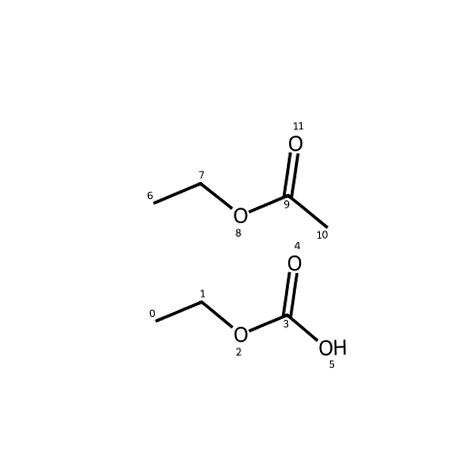 CCOC(=O)O.CCOC(C)=O